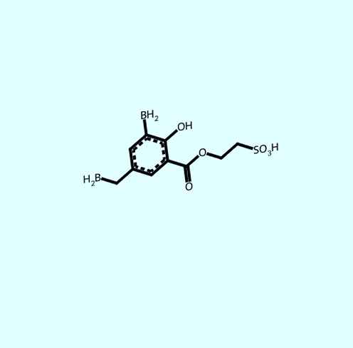 BCc1cc(B)c(O)c(C(=O)OCCS(=O)(=O)O)c1